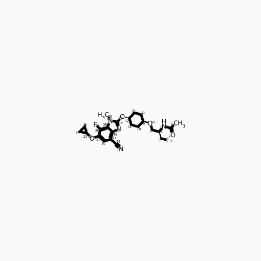 CC(=O)N[C@@H](CF)CO[C@H]1CC[C@H](Oc2nc3c(C#N)cc(OC4CC4)c(F)c3n2C)CC1